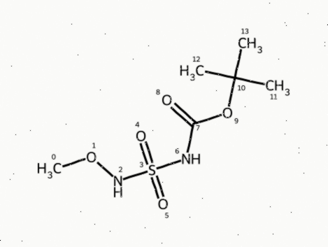 CONS(=O)(=O)NC(=O)OC(C)(C)C